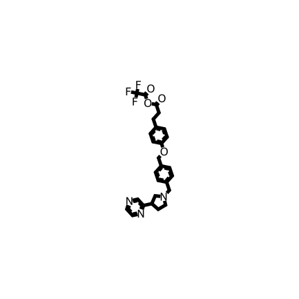 O=C(CCc1ccc(OCc2ccc(CN3CCC(c4cnccn4)C3)cc2)cc1)OC(=O)C(F)(F)F